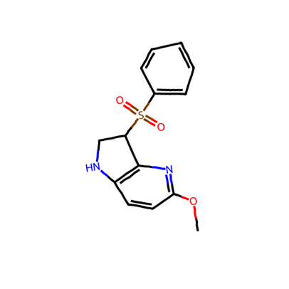 COc1ccc2c(n1)C(S(=O)(=O)c1ccccc1)CN2